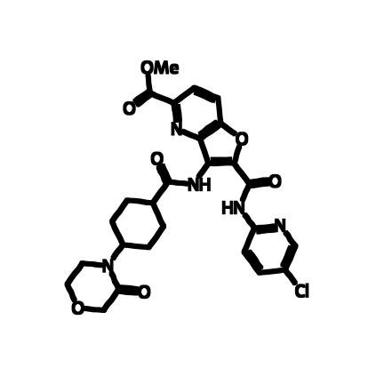 COC(=O)c1ccc2oc(C(=O)Nc3ccc(Cl)cn3)c(NC(=O)C3CCC(N4CCOCC4=O)CC3)c2n1